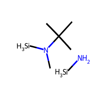 CN([SiH3])C(C)(C)C.N[SiH3]